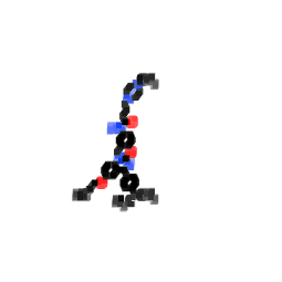 C#CCOc1ccc2c(c1)c(-c1ccc(C(C)C)cc1)nc(=O)n2Cc1cccc(NC(=O)CCCN2CCN(C)CC2)c1